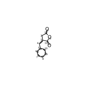 O=C1CC(=Cc2ccccc2)C(=O)O1